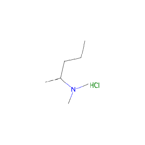 CCCC(C)N(C)C.Cl